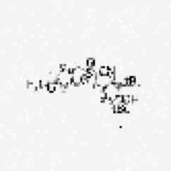 CC(C)(C)c1cc(/C=C(\C#N)S(=O)(=O)Cc2ccc(OC(F)(F)F)cc2)cc(C(C)(C)C)c1O